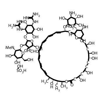 CN[C@@H]1[C@H](O[C@H]2[C@H](O[C@H]3[C@H](O)[C@@H](O)[C@H](NC(=N)N)[C@@H](O)[C@@H]3NC(=N)N)O[C@@H](C)[C@]2(O)C=O)O[C@@H](CO)[C@H](O)[C@H]1O.C[C@@H]1[C@H](O)[C@@H](C)/C=C/C=C/C=C/C=C/C=C/C=C/C=C/[C@H](O[C@@H]2O[C@H](C)[C@@H](O)[C@H](N)[C@@H]2O)C[C@@H]2O[C@](O)(C[C@@H](O)C[C@@H](O)[C@H](O)CC[C@@H](O)C[C@@H](O)CC(=O)O[C@H]1C)C[C@H](O)[C@H]2C(=O)O.O=S(=O)(O)O